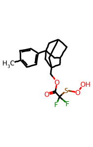 Cc1ccc(C23CC4CC(CC(COC(=O)C(F)(F)SOO)(C4)C2)C3)cc1